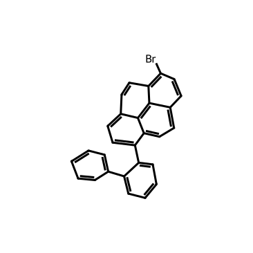 Brc1ccc2ccc3c(-c4ccccc4-c4ccccc4)ccc4ccc1c2c43